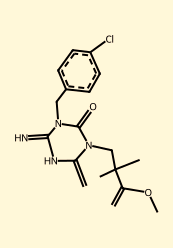 C=C1NC(=N)N(Cc2ccc(Cl)cc2)C(=O)N1CC(C)(C)C(=C)OC